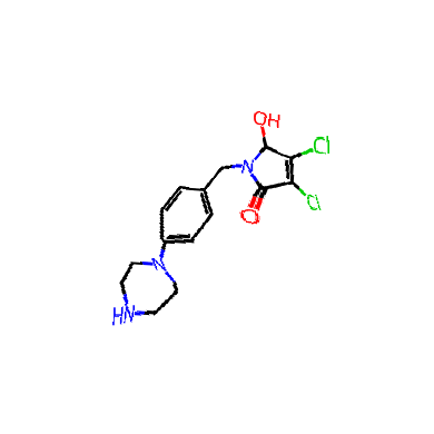 O=C1C(Cl)=C(Cl)C(O)N1Cc1ccc(N2CCNCC2)cc1